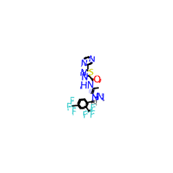 C=NN(/C=C(\C)NC(=O)c1nnc(-c2cnccn2)s1)[C@H](C)c1ccc(C(F)(F)F)cc1C(F)(F)F